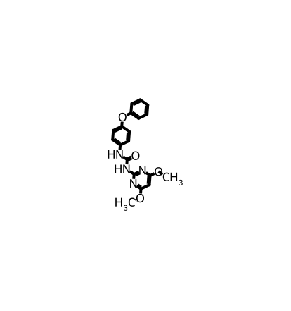 COc1cc(OC)nc(NC(=O)Nc2ccc(Oc3ccccc3)cc2)n1